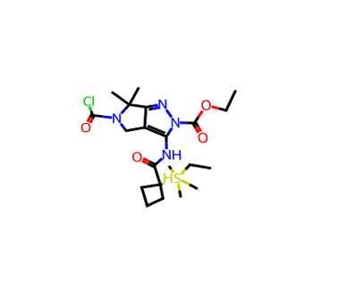 CCOC(=O)n1nc2c(c1NC(=O)C1([SH](C)(C)(C)CC)CCC1)CN(C(=O)Cl)C2(C)C